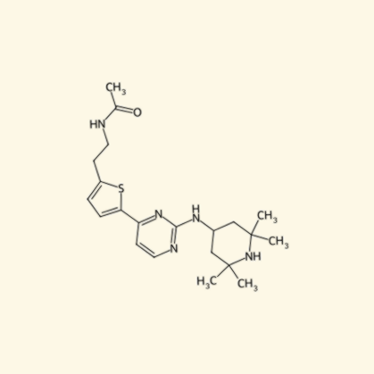 CC(=O)NCCc1ccc(-c2ccnc(NC3CC(C)(C)NC(C)(C)C3)n2)s1